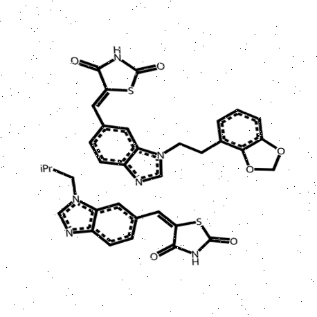 CC(C)Cn1cnc2ccc(C=C3SC(=O)NC3=O)cc21.O=C1NC(=O)C(=Cc2ccc3ncn(CCc4cccc5c4OCO5)c3c2)S1